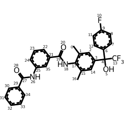 Cc1cc(C(O)(c2ccc(F)cc2)C(F)(F)F)cc(C)c1NC(=O)c1cccc(NC(=O)c2ccccc2)c1